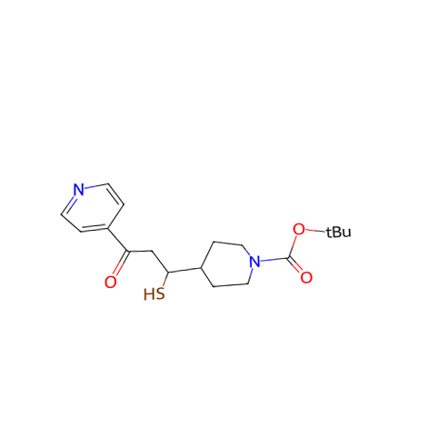 CC(C)(C)OC(=O)N1CCC(C(S)CC(=O)c2ccncc2)CC1